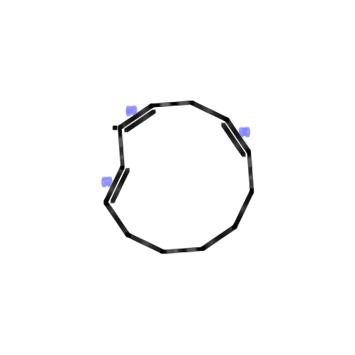 [C]1=C\C/C=C\CCCCC/C=C/1